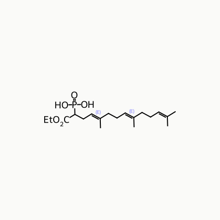 CCOC(=O)C(C/C=C(\C)CC/C=C(\C)CCC=C(C)C)P(=O)(O)O